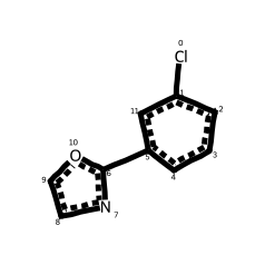 Clc1[c]ccc(-c2ncco2)c1